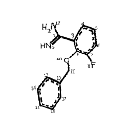 N=C(N)c1cccc(F)c1OCc1ccccc1